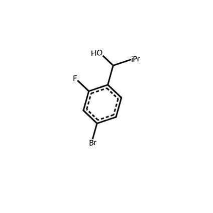 CC(C)C(O)c1ccc(Br)cc1F